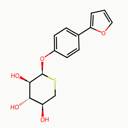 O[C@@H]1[C@@H](O)[C@@H](Oc2ccc(-c3ccco3)cc2)SC[C@H]1O